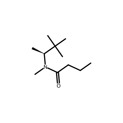 CCCC(=O)N(C)[C@@H](C)C(C)(C)C